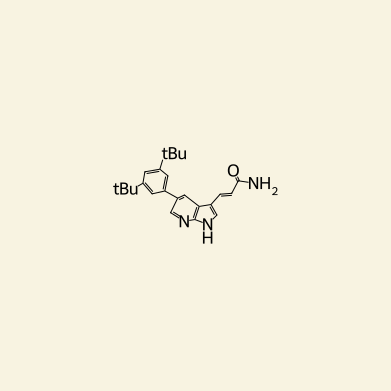 CC(C)(C)c1cc(-c2cnc3[nH]cc(C=CC(N)=O)c3c2)cc(C(C)(C)C)c1